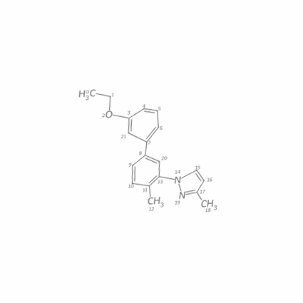 CCOc1cccc(-c2ccc(C)c(-n3ccc(C)n3)c2)c1